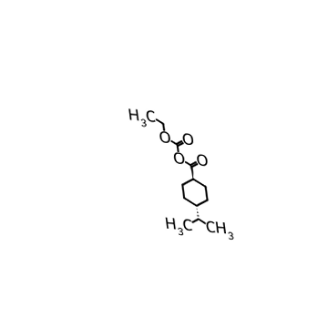 CCOC(=O)OC(=O)[C@H]1CC[C@H](C(C)C)CC1